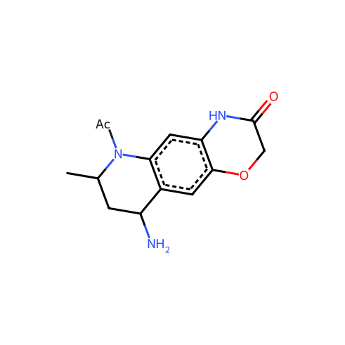 CC(=O)N1c2cc3c(cc2C(N)CC1C)OCC(=O)N3